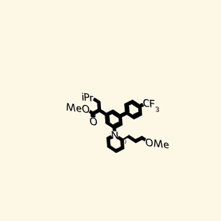 COCCC[C@H]1CCCCN1c1cc(-c2ccc(C(F)(F)F)cc2)cc(C(CC(C)C)C(=O)OC)c1